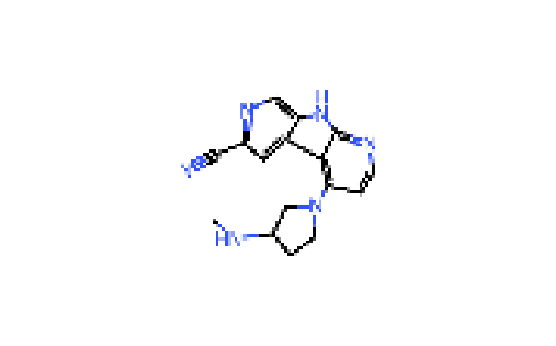 CNC1CCN(c2ccnc3[nH]c4cnc(C#N)cc4c23)C1